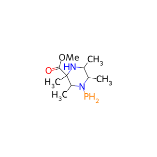 COC(=O)C1(C)NC(C)C(C)N(P)C1C